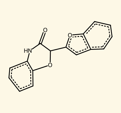 O=C1Nc2ccccc2OC1c1cc2ccccc2o1